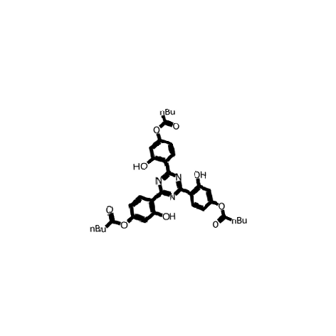 CCCCC(=O)Oc1ccc(-c2nc(-c3ccc(OC(=O)CCCC)cc3O)nc(-c3ccc(OC(=O)CCCC)cc3O)n2)c(O)c1